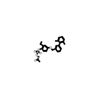 CCc1cc(OCc2cccc(-c3c(C)cccc3C)c2)ccc1OS(=O)(=O)OOC(C)=O